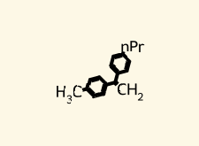 C=C(c1ccc(C)cc1)c1ccc(CCC)cc1